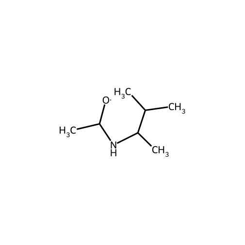 CC([O])NC(C)C(C)C